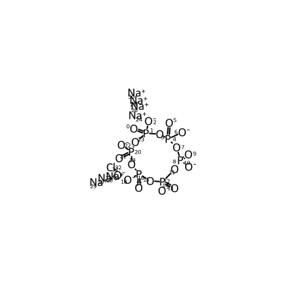 O=P1([O-])OP(=O)([O-])OP(=O)([O-])OP(=O)([O-])OP(=O)([O-])OP(=O)([O-])O1.[Na+].[Na+].[Na+].[Na+].[Na+].[Na+].[Na+].[O-]Cl